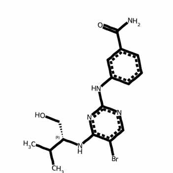 CC(C)[C@H](CO)Nc1nc(Nc2cccc(C(N)=O)c2)ncc1Br